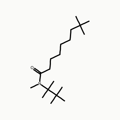 CN(C(=O)CCCCCCC(C)(C)C)C(C)(C)C(C)(C)C